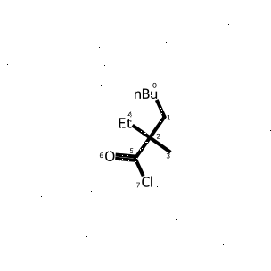 CCCCCC(C)(CC)C(=O)Cl